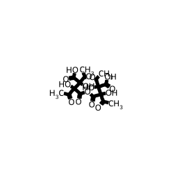 CC(=O)C(O)(C(=O)O)C(O)(C(C)=O)C(=O)OC(=O)C(O)(C(C)=O)C(O)(C(C)=O)C(=O)O